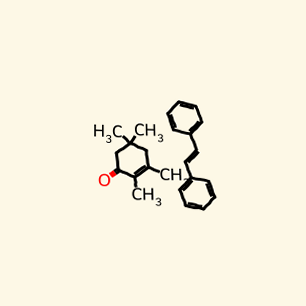 C(=Cc1ccccc1)c1ccccc1.CC1=C(C)C(=O)CC(C)(C)C1